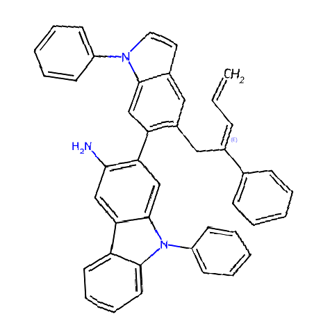 C=C/C=C(\Cc1cc2ccn(-c3ccccc3)c2cc1-c1cc2c(cc1N)c1ccccc1n2-c1ccccc1)c1ccccc1